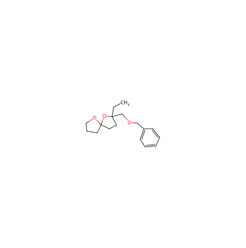 CCC1(COCc2ccccc2)CCC2(CCCO2)O1